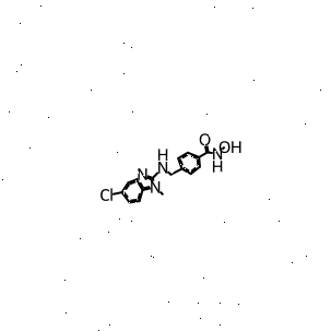 Cn1c(NCc2ccc(C(=O)NO)cc2)nc2cc(Cl)ccc21